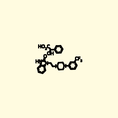 O=C(O)C(O)c1ccccc1.O=c1[nH]c2ccccc2n1CCN1CCN(c2cccc(C(F)(F)F)c2)CC1